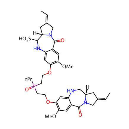 C/C=C1\C[C@H]2CNc3cc(OCCP(=O)(CCC)CCOc4cc5c(cc4OC)C(=O)N4C/C(=C/C)C[C@H]4C(S(=O)(=O)O)N5)c(OC)cc3C(=O)N2C1